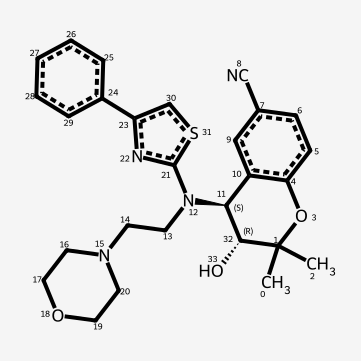 CC1(C)Oc2ccc(C#N)cc2[C@H](N(CCN2CCOCC2)c2nc(-c3ccccc3)cs2)[C@H]1O